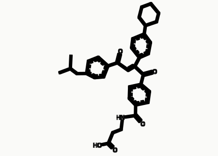 CC(C)Cc1ccc(C(=O)/C=C(/C(=O)c2ccc(C(=O)NCCC(=O)O)cc2)c2ccc(C3CCCCC3)cc2)cc1